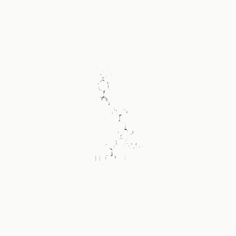 C=C(C)C(=O)OCC(COC)OC(=O)CCC(=O)OCCOC(=O)C1CCC(C(=O)O)CC1